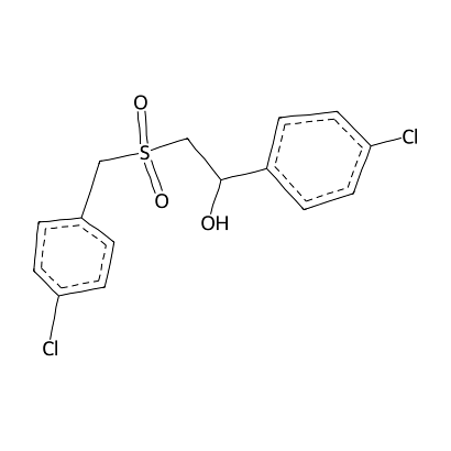 O=S(=O)(Cc1ccc(Cl)cc1)CC(O)c1ccc(Cl)cc1